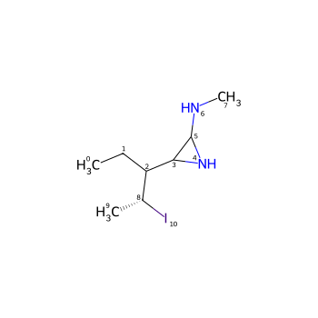 CCC(C1NC1NC)[C@@H](C)I